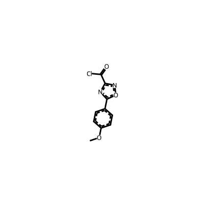 COc1ccc(-c2nc(C(=O)Cl)no2)cc1